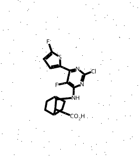 O=C(O)C1C2CCC(CC2)C1Nc1nc(Cl)nc(-c2ccc(F)s2)c1F